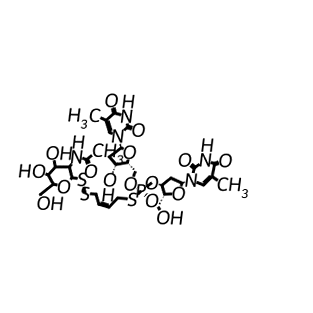 CC(=O)NC1C(SSC/C=C\CSP(=O)(OC[C@H]2O[C@@H](n3cc(C)c(=O)[nH]c3=O)C[C@H]2O)O[C@@H]2C[C@H](n3cc(C)c(=O)[nH]c3=O)O[C@@H]2CO)OC(CO)C(O)C1O